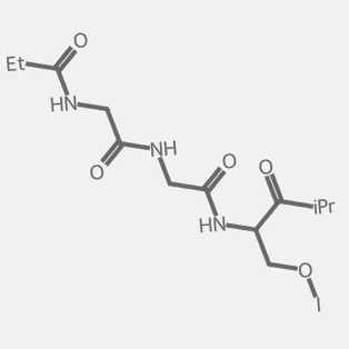 CCC(=O)NCC(=O)NCC(=O)NC(COI)C(=O)C(C)C